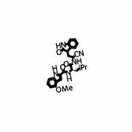 COc1cccc2[nH]c(C(=O)N[C@@H](CC(C)C)C(=O)NC(C#N)CC3C(=O)Nc4ccccc43)cc12